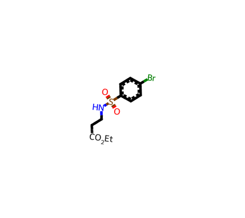 CCOC(=O)CCNS(=O)(=O)c1ccc(Br)cc1